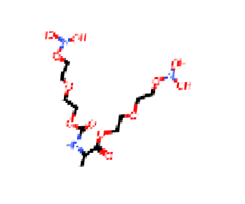 CC(NC(=O)OCCOCCON(O)O)C(=O)OCCOCCON(O)O